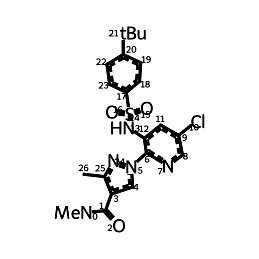 CNC(=O)c1cn(-c2ncc(Cl)cc2NS(=O)(=O)c2ccc(C(C)(C)C)cc2)nc1C